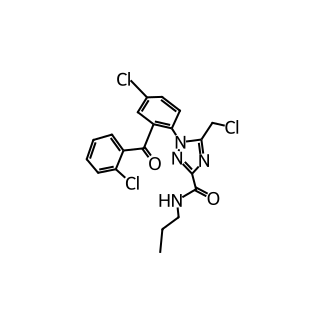 CCCNC(=O)c1nc(CCl)n(-c2ccc(Cl)cc2C(=O)c2ccccc2Cl)n1